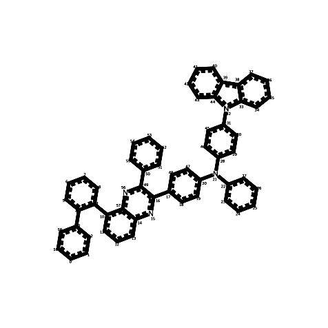 c1ccc(-c2ccccc2-c2cccc3nc(-c4ccc(N(c5ccccc5)c5ccc(-n6c7ccccc7c7ccccc76)cc5)cc4)c(-c4ccccc4)nc23)cc1